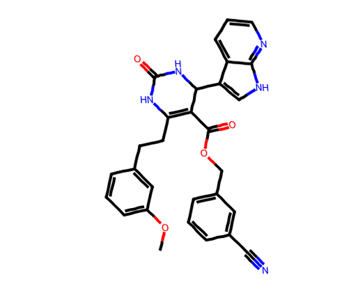 COc1cccc(CCC2=C(C(=O)OCc3cccc(C#N)c3)C(c3c[nH]c4ncccc34)NC(=O)N2)c1